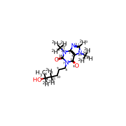 [2H]c1nc2c(c(=O)n(CCCC([2H])([2H])[C@@]([2H])(C)O)c(=O)n2C([2H])([2H])[2H])n1C([2H])([2H])[2H]